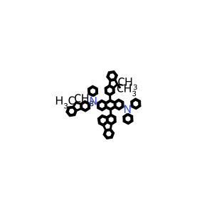 CC1(C)c2ccccc2-c2ccc(-c3c4cc(N(c5ccccc5)c5ccc6c(c5)C(C)(C)c5ccccc5-6)ccc4c(-c4ccc5c6c(cccc46)-c4ccccc4-5)c4cc(N(c5ccccc5)c5ccccc5)ccc34)cc21